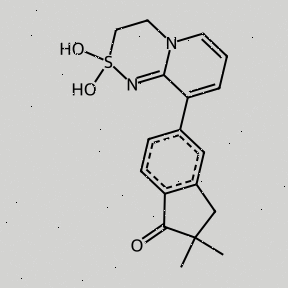 CC1(C)Cc2cc(C3=CC=CN4CCS(O)(O)N=C34)ccc2C1=O